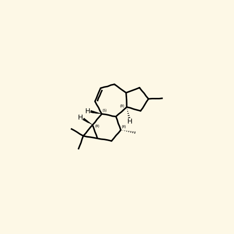 CC1CC2CC=C[C@@H]3C([C@@H]2C1)[C@H](C)CC1[C@@H]3C1(C)C